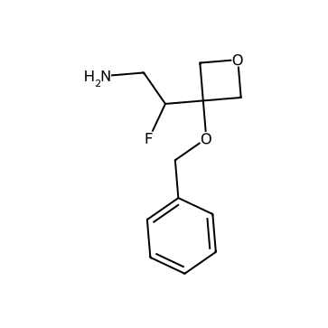 NCC(F)C1(OCc2ccccc2)COC1